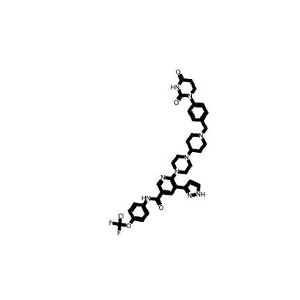 O=C1CCN(c2ccc(CN3CCC(N4CCN(c5ncc(C(=O)Nc6ccc(OC(F)(F)Cl)cc6)cc5-c5cc[nH]n5)CC4)CC3)cc2)C(=O)N1